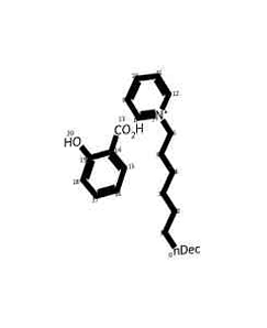 CCCCCCCCCCCCCCCC[n+]1ccccc1.O=C(O)c1ccccc1O